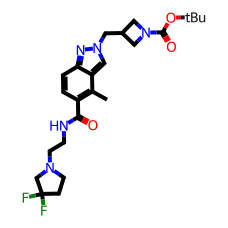 Cc1c(C(=O)NCCN2CCC(F)(F)C2)ccc2nn(CC3CN(C(=O)OC(C)(C)C)C3)cc12